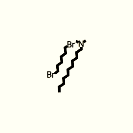 BrCCCCCCBr.CCCCCCCCCCCN(C)C